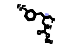 CC(C)(C)OC(=O)NC/C(=C\F)Cc1cccc(C(F)(F)F)c1